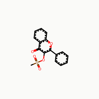 CS(=O)(=O)Oc1c(-c2ccccc2)oc2ccccc2c1=O